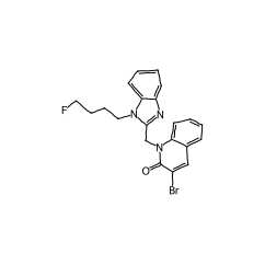 O=c1c(Br)cc2ccccc2n1Cc1nc2ccccc2n1CCCCF